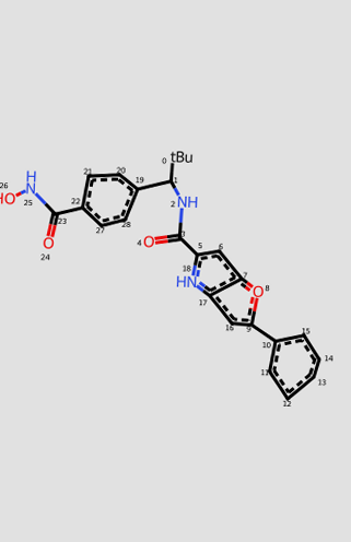 CC(C)(C)C(NC(=O)c1cc2oc(-c3ccccc3)cc2[nH]1)c1ccc(C(=O)NO)cc1